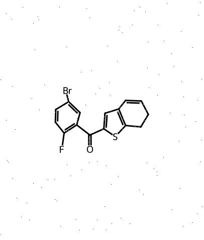 O=C(c1cc2c(s1)CCC=C2)c1cc(Br)ccc1F